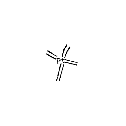 [CH2]=[Pt](=[CH2])(=[CH2])=[CH2]